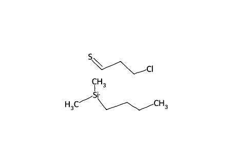 CCCC[Si](C)C.S=CCCCl